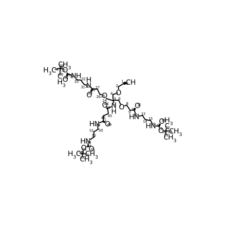 C#CCOCC(COCCC(=O)NCCCNC(=O)OC(C)(C)C)(COCCC(=O)NCCCNC(=O)OC(C)(C)C)NC(=O)CCC(=O)NCCCNC(=O)OC(C)(C)C